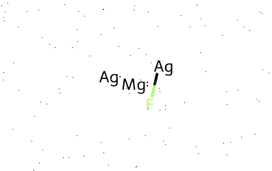 [Ag].[F][Ag].[Mg]